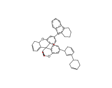 C1=CCC2Oc3cc(-n4c5c(c6ccccc64)CCCC5)ccc3C3(C2=C1)C1=C(CCCC1)Oc1cc(C2C=C(C4CC=CCC4)C=CC2)ccc13